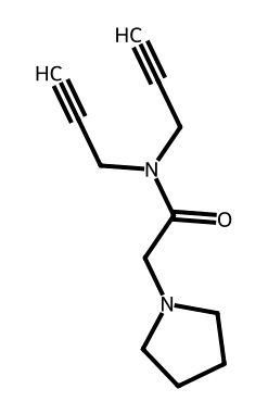 C#CCN(CC#C)C(=O)CN1CCCC1